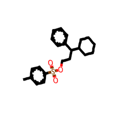 Cc1ccc(S(=O)(=O)OCCC(c2ccccc2)C2CCCCC2)cc1